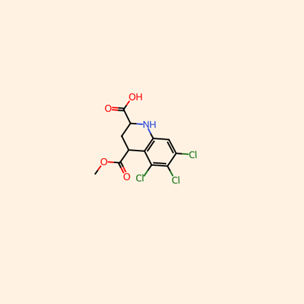 COC(=O)C1CC(C(=O)O)Nc2cc(Cl)c(Cl)c(Cl)c21